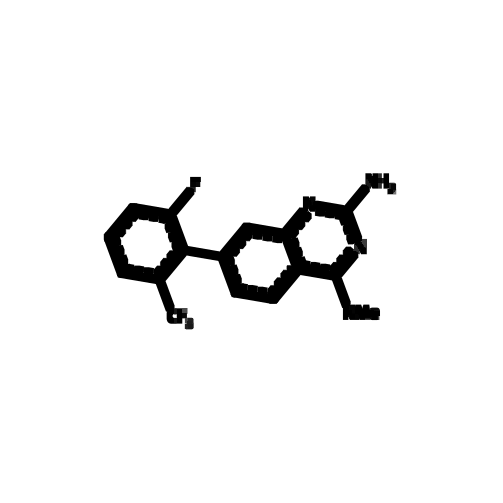 CNc1nc(N)nc2cc(-c3c(F)cccc3C(F)(F)F)ccc12